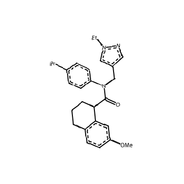 CCn1cc(CN(C(=O)C2CCCc3ccc(OC)cc32)c2ccc(C(C)C)cc2)cn1